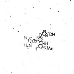 CNc1cc(F)cc2c1[nH]c1nc(Oc3cnc(CO)nc3)nc(N3CC4C(N)CC4(C)C3)c12